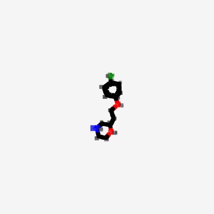 Brc1ccc(OCCC2CNCCO2)cc1